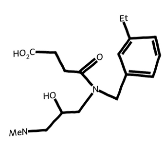 CCc1cccc(CN(CC(O)CNC)C(=O)CCC(=O)O)c1